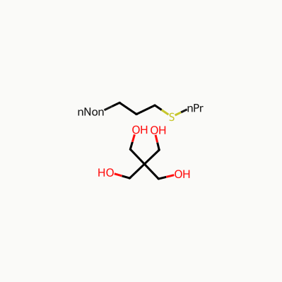 CCCCCCCCCCCCSCCC.OCC(CO)(CO)CO